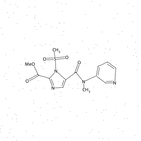 COC(=O)c1ncc(C(=O)N(C)c2cccnc2)n1S(C)(=O)=O